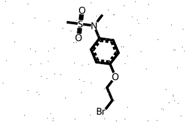 CN(c1ccc(OCCBr)cc1)S(C)(=O)=O